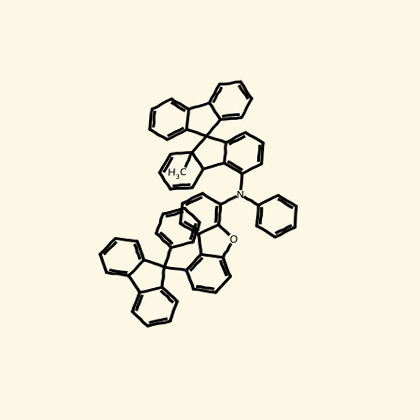 CC12C=CC=CC1c1c(N(c3ccccc3)c3cccc4c3oc3cccc(C5(c6ccccc6)c6ccccc6-c6ccccc65)c34)cccc1C21c2ccccc2-c2ccccc21